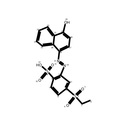 [CH2]CS(=O)(=O)c1ccc(S(=O)(=O)O)c(N=Nc2ccc(O)c3ccccc23)c1